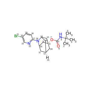 CC(C)(C)NC(=O)O[C@]12CC3C[C@@H](CC(C1)N3c1ccc(Br)cn1)C2